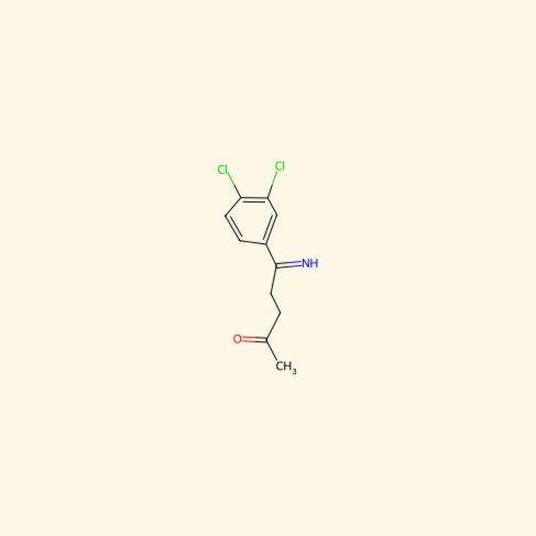 CC(=O)CCC(=N)c1ccc(Cl)c(Cl)c1